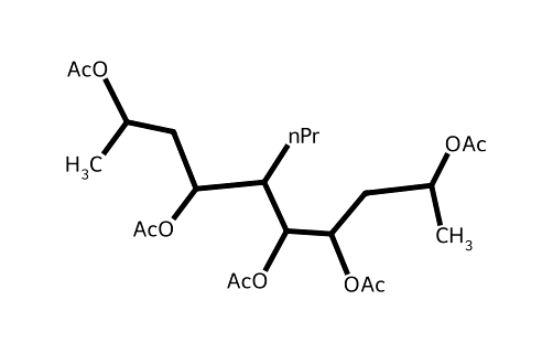 CCCC(C(CC(C)OC(C)=O)OC(C)=O)C(OC(C)=O)C(CC(C)OC(C)=O)OC(C)=O